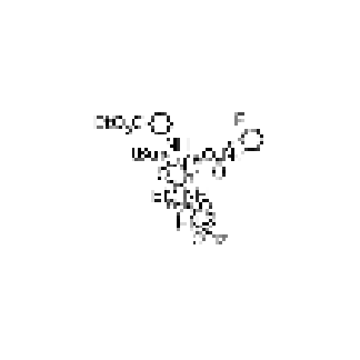 CCOC(=O)c1cccc(N[C@H](C(=O)N2C[C@H](OC(=O)N3Cc4cccc(F)c4C3)C[C@H]2C(=O)N[C@]2(C(=O)NS(=O)(=O)C3CC3)C[C@H]2CC)C(C)(C)C)c1